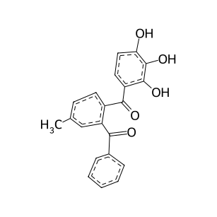 Cc1ccc(C(=O)c2ccc(O)c(O)c2O)c(C(=O)c2ccccc2)c1